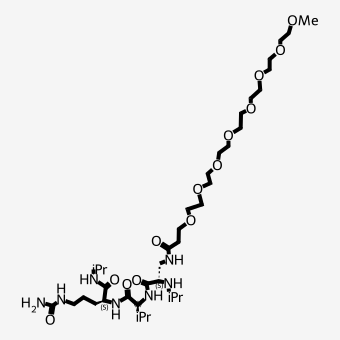 COCCOCCOCCOCCOCCOCCOCCOCCC(=O)NC[C@H](NC(C)C)C(=O)N[C@H](C(=O)N[C@@H](CCCNC(N)=O)C(=O)NC(C)C)C(C)C